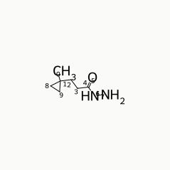 CC1(CCC(=O)NN)CC1